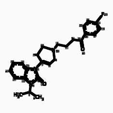 CC(C)n1c(=O)n(C2=CCN(CCCC(=O)c3ccc(F)cc3)CC2)c2ccccc21